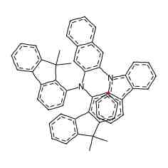 CC1(C)c2ccccc2-c2c(N(c3cc4ccccc4cc3-n3c4ccccc4c4ccccc43)c3cccc4c3C(C)(C)c3ccccc3-4)cccc21